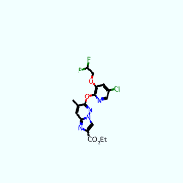 CCOC(=O)c1cn2nc(Oc3ncc(Cl)cc3OCC(F)F)c(C)cc2n1